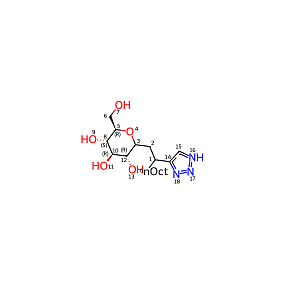 CCCCCCCCC(CC1O[C@H](CO)[C@@H](O)[C@H](O)[C@H]1O)c1c[nH]nn1